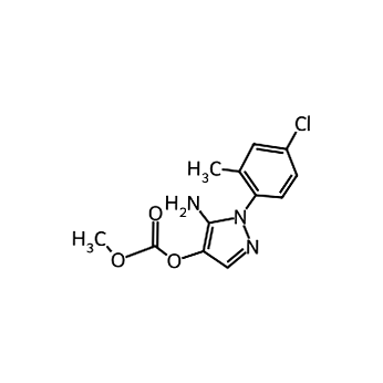 COC(=O)Oc1cnn(-c2ccc(Cl)cc2C)c1N